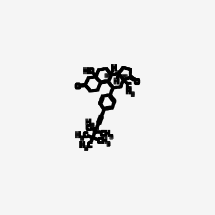 CC(C)(C)[Si](C)(C)C#Cc1ccc(C2C[C@]3(C)C(=O)CC[C@H]3[C@@H]3CCC4(O)CC(=O)CCC4=C23)cc1